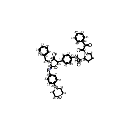 O=C(C(=O)N1CCC[C@H]1C(=O)Nc1ccc(C2S/C(=N\c3ccc(N4CCOCC4)cc3)N(Cc3ccccn3)C2=O)cc1)c1ccccc1